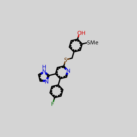 CSc1cc(CSc2cc(-c3ncc[nH]3)c(-c3ccc(F)cc3)cn2)ccc1O